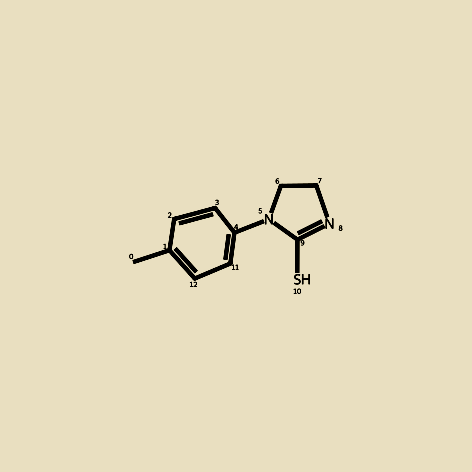 Cc1ccc(N2CCN=C2S)cc1